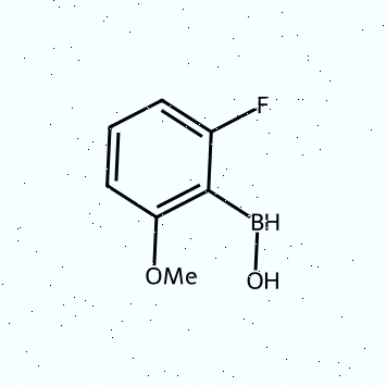 COc1cccc(F)c1BO